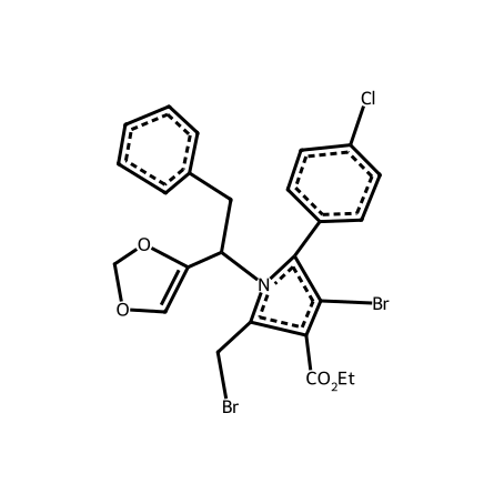 CCOC(=O)c1c(Br)c(-c2ccc(Cl)cc2)n(C(Cc2ccccc2)C2=COCO2)c1CBr